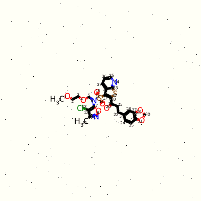 COCCOCN(c1onc(C)c1Cl)S(=O)(=O)c1c(C(=O)CCc2ccc3c(c2)OCO3)sc2ncccc12